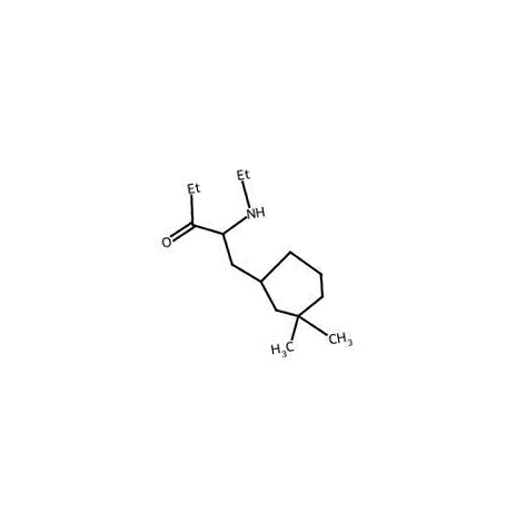 CCNC(CC1CCCC(C)(C)C1)C(=O)CC